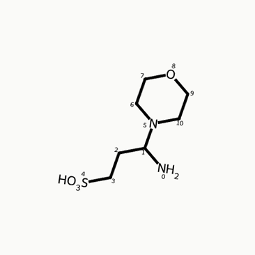 NC(CCS(=O)(=O)O)N1CCOCC1